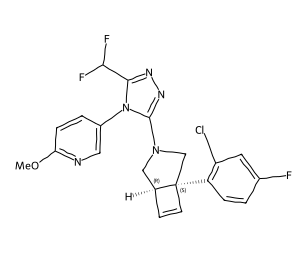 COc1ccc(-n2c(C(F)F)nnc2N2C[C@@H]3C=C[C@]3(c3ccc(F)cc3Cl)C2)cn1